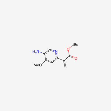 C=C(C(=O)OC(C)(C)C)c1cc(OC)c(N)cn1